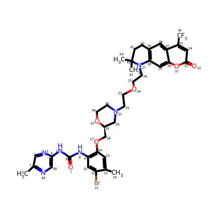 Cc1cnc(NC(=O)Nc2cc(Br)c(C)cc2OC[C@@H]2CN(CCOCCN3c4cc5oc(=O)cc(C(F)(F)F)c5cc4CCC3(C)C)CCO2)cn1